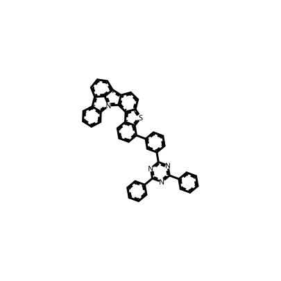 c1ccc(-c2nc(-c3ccccc3)nc(-c3cccc(-c4cccc5c4sc4ccc6c7cccc8c9ccccc9n(c87)c6c45)c3)n2)cc1